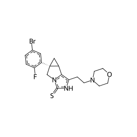 Fc1ccc(Br)cc1[C@]12CC1c1c(CCN3CCOCC3)[nH]c(=S)n1C2